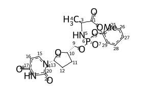 COC(=O)[C@H](C)NP(=O)(OC[C@@H]1CC[C@H](n2ccc(=O)[nH]c2=O)O1)Oc1ccccc1